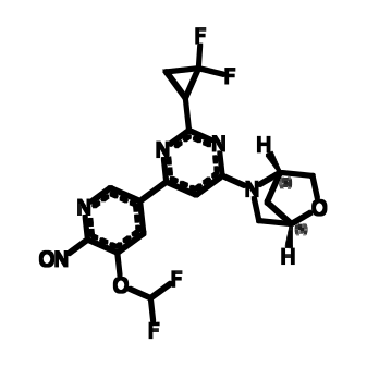 O=Nc1ncc(-c2cc(N3C[C@@H]4C[C@H]3CO4)nc(C3CC3(F)F)n2)cc1OC(F)F